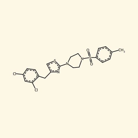 Cc1ccc(S(=O)(=O)N2CCN(c3nc(Cc4ccc(Cl)cc4Cl)cs3)CC2)cc1